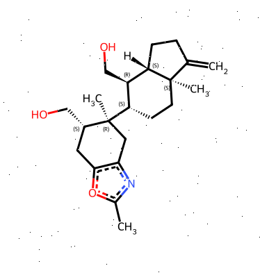 C=C1CC[C@H]2[C@H](CO)[C@@H]([C@@]3(C)Cc4nc(C)oc4C[C@@H]3CO)CC[C@]12C